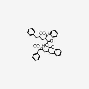 O=C(O)C(Cc1ccccc1)CC(Cc1ccccc1)C(=O)OC(=O)C(Cc1ccccc1)CC(Cc1ccccc1)C(=O)O